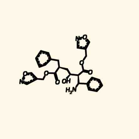 NC(c1ccccc1)[C@H](C(=O)OCc1cnoc1)[C@@H](O)C[C@H](Cc1ccccc1)C(=O)OCc1cnoc1